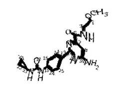 COCCNC(=O)c1cc(N)nc(-c2ccc(NC(=O)NC3CC3)cc2)n1